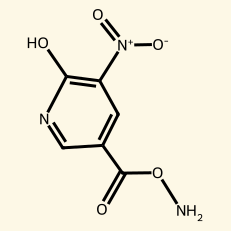 NOC(=O)c1cnc(O)c([N+](=O)[O-])c1